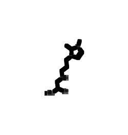 CCCCC(CC)CNCCCN1C=CN(C)C1C